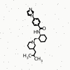 CC(C)CC1CCCN(C[C@@H]2CCCC[C@H]2NC(=O)c2ccc(-n3ccnc3)cc2)C1